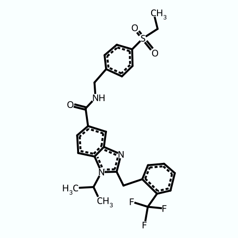 CCS(=O)(=O)c1ccc(CNC(=O)c2ccc3c(c2)nc(Cc2ccccc2C(F)(F)F)n3C(C)C)cc1